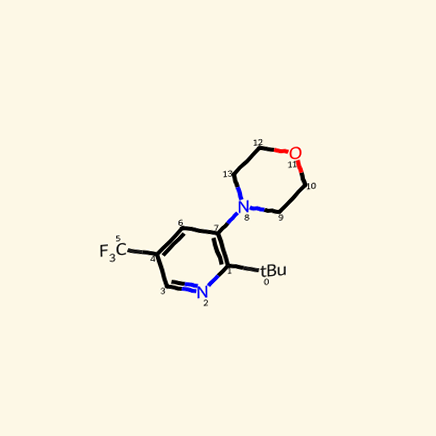 CC(C)(C)c1ncc(C(F)(F)F)cc1N1CCOCC1